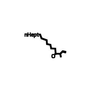 C=CC(C)C(=O)CCCCCCCCCCCCCC